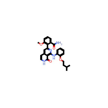 COc1cccc(C(N)=O)c1-c1cc2cc[nH]c(=O)c2c(Nc2ccccc2OCCC(C)C)n1